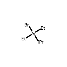 CC[Si](Br)(CC)C(C)C